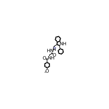 COc1ccc(C(=O)NCC(=O)N/N=C/c2c(-c3ccccc3)[nH]c3ccccc23)cc1